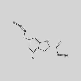 [N-]=[N+]=NCc1cc(Br)c2c(c1)NC(C(=O)N=N)C2